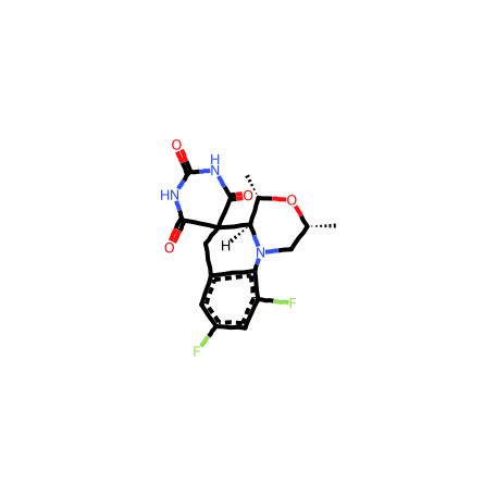 C[C@@H]1CN2c3c(F)cc(F)cc3CC3(C(=O)NC(=O)NC3=O)[C@H]2[C@H](C)O1